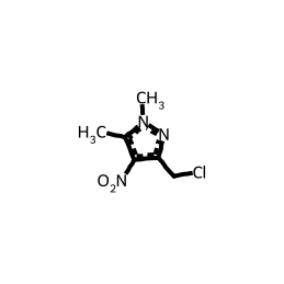 Cc1c([N+](=O)[O-])c(CCl)nn1C